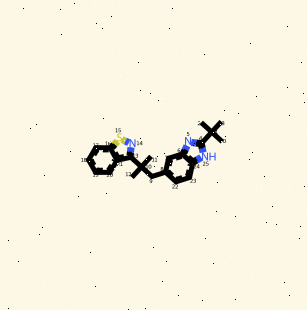 CC(C)(C)c1nc2cc(CC(C)(C)c3nsc4ccccc34)ccc2[nH]1